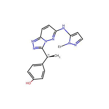 CCn1nccc1Nc1ccc2nnc([C@@H](C)c3ccc(O)cc3)n2n1